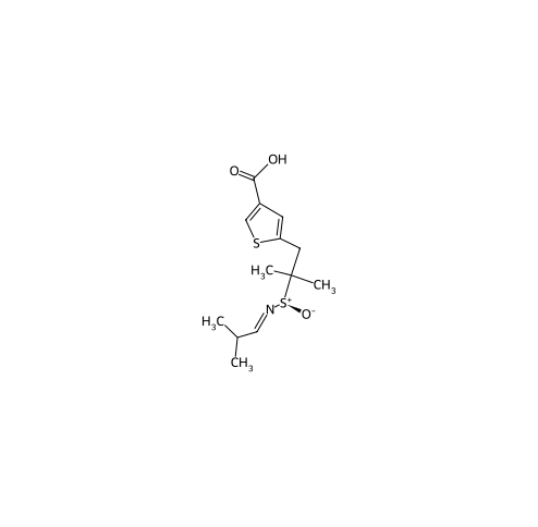 CC(C)/C=N/[S@+]([O-])C(C)(C)Cc1cc(C(=O)O)cs1